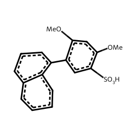 COc1cc(OC)c(S(=O)(=O)O)cc1-c1cccc2ccccc12